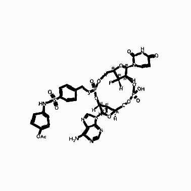 CC(=O)Oc1ccc(NS(=O)(=O)c2ccc(CSP3(=O)OC[C@H]4O[C@@H](n5ccc(=O)[nH]c5=O)[C@H](OP(=O)(O)OC[C@H]5O[C@@H](n6cnc7c(N)ncnc76)[C@H](O3)[C@@H]5F)[C@@H]4F)cc2)cc1